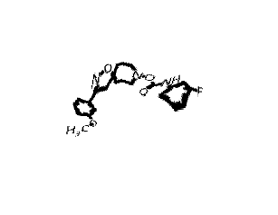 COc1cccc(C2=NOC3(CCN(OC(=O)Nc4cccc(F)c4)CC3)C2)c1